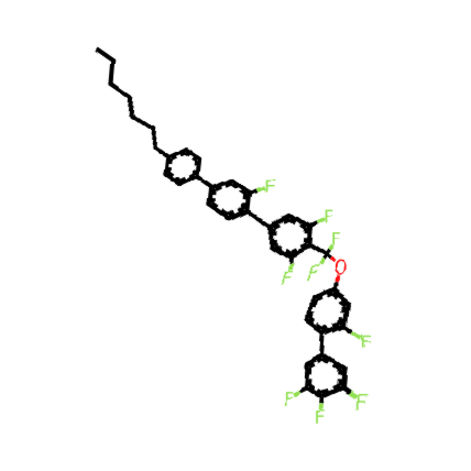 CCCCCCCc1ccc(-c2ccc(-c3cc(F)c(C(F)(F)Oc4ccc(-c5cc(F)c(F)c(F)c5)c(F)c4)c(F)c3)c(F)c2)cc1